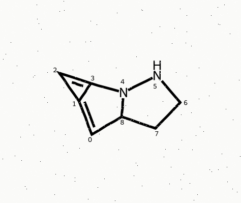 C1=C2C=C2N2NCCC12